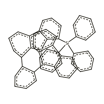 c1ccc([Si](c2ccccc2)(c2ccccc2)c2cccc3c2oc2c(-c4ccccc4-n4c5ccccc5c5ccccc54)cccc23)cc1